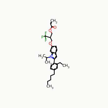 C=CC(=O)OCC(COc1ccc2cc(-c3ccc(CCCCC)cc3CC)n(C(C)C)c2c1)C(F)(F)F